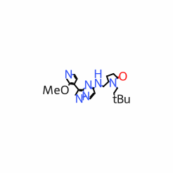 COc1cnccc1-c1cnn2ccc(NCC3CCC(=O)N3CCC(C)(C)C)nc12